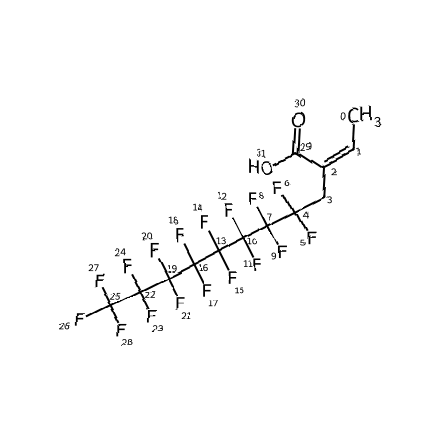 CC=C(CC(F)(F)C(F)(F)C(F)(F)C(F)(F)C(F)(F)C(F)(F)C(F)(F)C(F)(F)F)C(=O)O